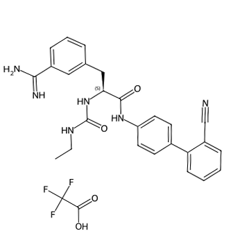 CCNC(=O)N[C@@H](Cc1cccc(C(=N)N)c1)C(=O)Nc1ccc(-c2ccccc2C#N)cc1.O=C(O)C(F)(F)F